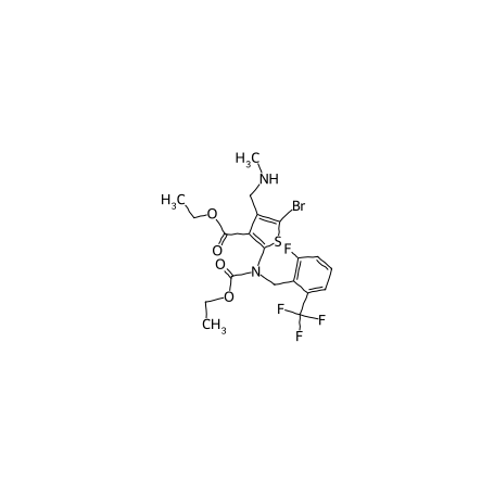 CCOC(=O)c1c(N(Cc2c(F)cccc2C(F)(F)F)C(=O)OCC)sc(Br)c1CNC